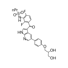 CCCS(=O)(=O)Nc1c(F)ccc(C(=O)c2c[nH]c3ncc(-c4ccc(OCC(O)CO)cc4)cc23)c1F